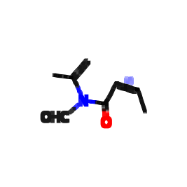 C=C(C)N(C=O)C(=O)/C=C\C